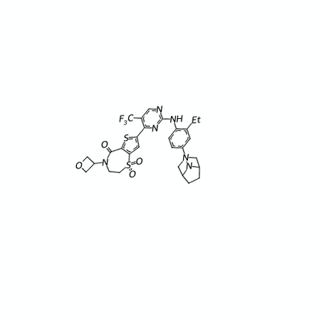 CCc1cc(N2CC3CCC(C2)N3C)ccc1Nc1ncc(C(F)(F)F)c(-c2cc3c(s2)C(=O)N(C2COC2)CCS3(=O)=O)n1